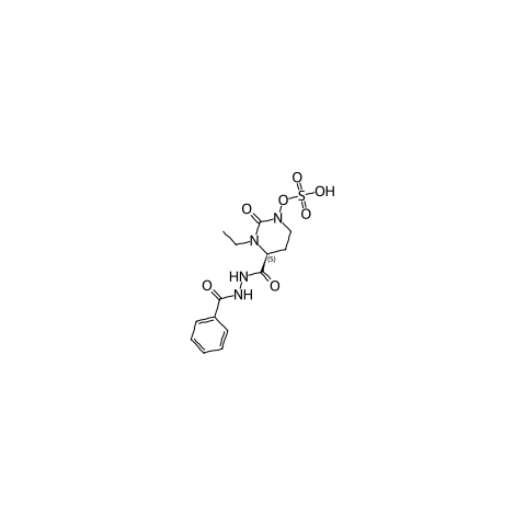 CCN1C(=O)N(OS(=O)(=O)O)CC[C@H]1C(=O)NNC(=O)c1ccccc1